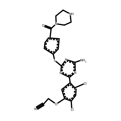 N#CCOc1cc(-c2nc(N)nc(Sc3ccc(C(=O)N4CCNCC4)cc3)n2)c(Cl)cc1Cl